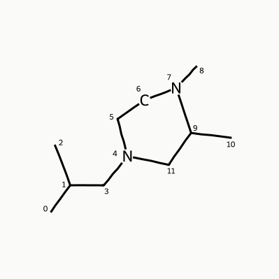 CC(C)CN1CCN(C)C(C)C1